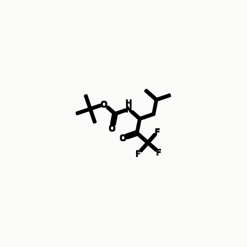 CC(C)CC(NC(=O)OC(C)(C)C)C(=O)C(F)(F)F